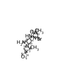 C[C@H]1CN(C2CCOC2)CCN1c1ccc(Nc2nc(Br)cn(C)c2=O)cc1N